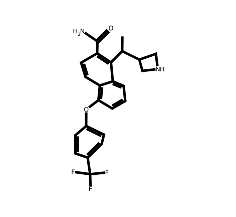 CC(c1c(C(N)=O)ccc2c(Oc3ccc(C(F)(F)F)cc3)cccc12)C1CNC1